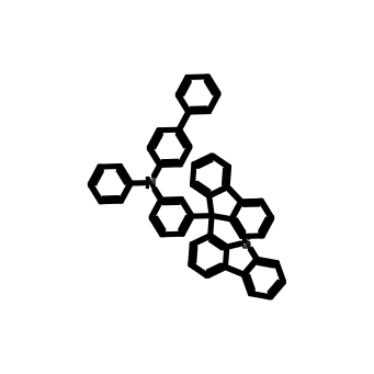 c1ccc(-c2ccc(N(c3ccccc3)c3cccc(C4(c5cccc6c5sc5ccccc56)c5ccccc5-c5ccccc54)c3)cc2)cc1